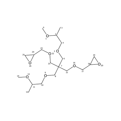 COC(C)COCC(COCC(C)OC)(COCC1CO1)COCC1CO1